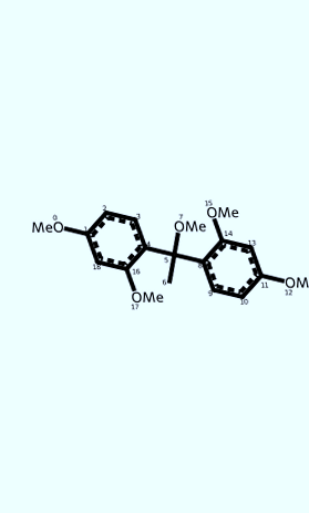 COc1ccc(C(C)(OC)c2ccc(OC)cc2OC)c(OC)c1